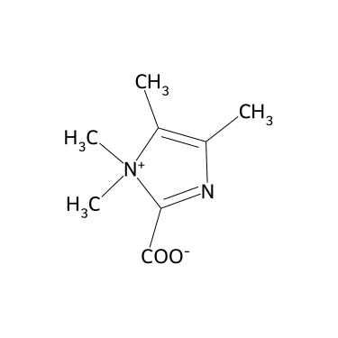 CC1=C(C)[N+](C)(C)C(C(=O)[O-])=N1